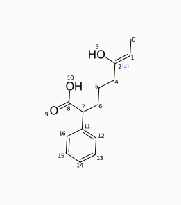 C/C=C(\O)CCCC(C(=O)O)c1ccccc1